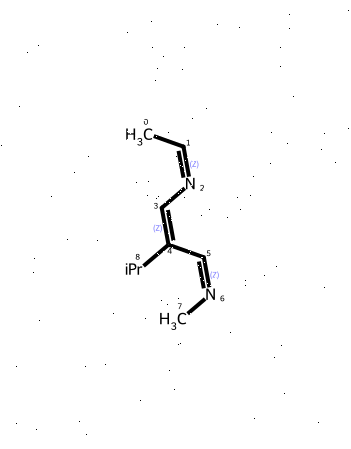 C\C=N/C=C(\C=N/C)C(C)C